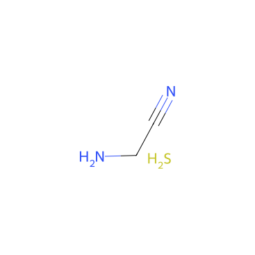 N#CCN.S